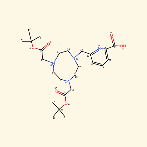 CC(C)(C)OC(=O)CN1CCN(CC(=O)OC(C)(C)C)CCN(Cc2cccc(C(=O)O)n2)CC1